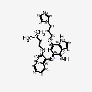 CN(C)CCNc1nn2ccccc2c1/N=C1\C=C(OCCCn2ccnc2)c2[nH]ccc2C1=N